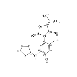 CC(C)=C1OC(=O)N(c2cc(OC3CCCC3)c(Cl)cc2F)C1=N